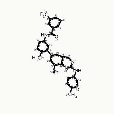 Cc1ccc(Nc2ncc3cc(-c4cc(NC(=O)c5cccc(C(F)(F)F)c5)ccc4C)cc(C(C)C)c3n2)cn1